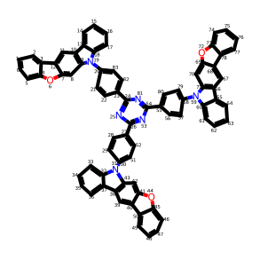 c1ccc2c(c1)oc1cc3c(cc12)c1ccccc1n3-c1ccc(-c2nc(-c3ccc(-n4c5ccccc5c5cc6c(cc54)oc4ccccc46)cc3)nc(-c3ccc(-n4c5ccccc5c5cc6c(cc54)oc4ccccc46)cc3)n2)cc1